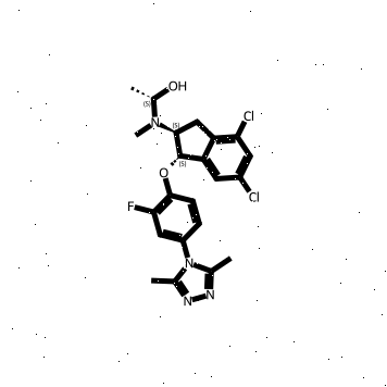 Cc1nnc(C)n1-c1ccc(O[C@H]2c3cc(Cl)cc(Cl)c3C[C@@H]2N(C)[C@H](C)O)c(F)c1